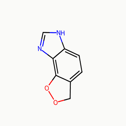 c1nc2c3c(ccc2[nH]1)COO3